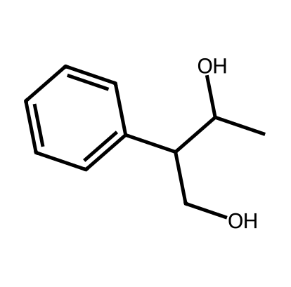 CC(O)C(CO)c1ccccc1